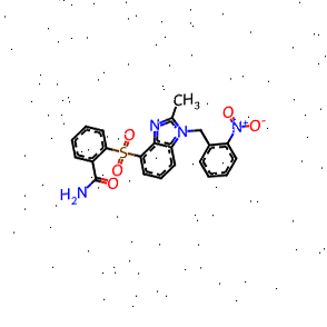 Cc1nc2c(S(=O)(=O)c3ccccc3C(N)=O)cccc2n1Cc1ccccc1[N+](=O)[O-]